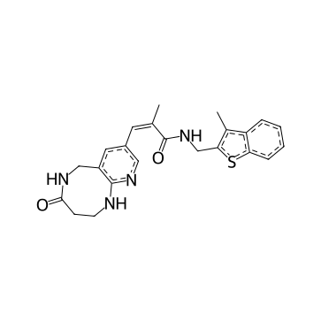 CC(=Cc1cnc2c(c1)CNC(=O)CCN2)C(=O)NCc1sc2ccccc2c1C